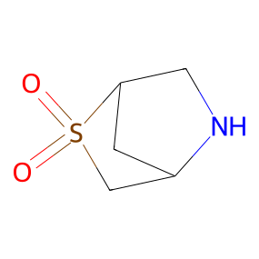 O=S1(=O)CC2CC1CN2